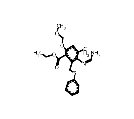 CCOC(=O)c1c(OCOC)cc(C)c(/N=C\N)c1CSc1ccccc1